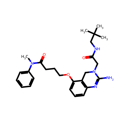 CN(C(=O)CCCOc1cccc2c1CN(CC(=O)NCC(C)(C)C)C(N)=N2)c1ccccc1